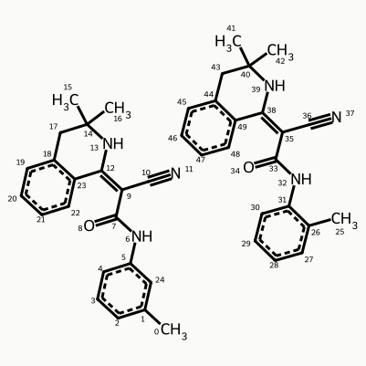 Cc1cccc(NC(=O)C(C#N)=C2NC(C)(C)Cc3ccccc32)c1.Cc1ccccc1NC(=O)C(C#N)=C1NC(C)(C)Cc2ccccc21